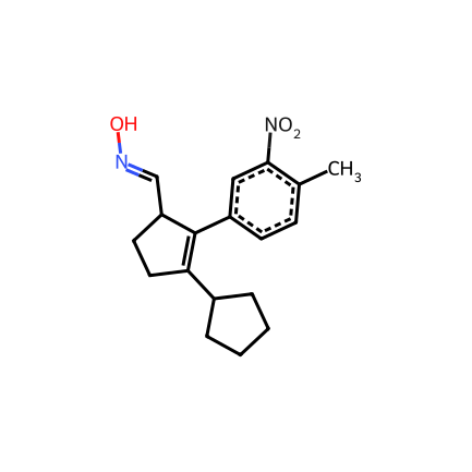 Cc1ccc(C2=C(C3CCCC3)CCC2C=NO)cc1[N+](=O)[O-]